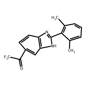 Cc1cccc(C)c1-c1nc2ccc(C(=O)C(F)(F)F)cc2[nH]1